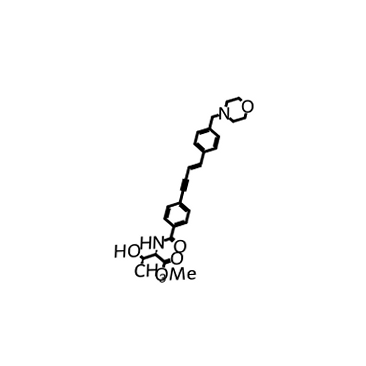 COC(=O)[C@@H](NC(=O)c1ccc(C#C/C=C/c2ccc(CN3CCOCC3)cc2)cc1)[C@@H](C)O